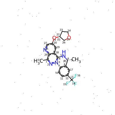 Cc1nnc(N[C@H](C)c2cccc(C(F)(F)F)c2)c2cc(O[C@H]3CCOC3)cnc12